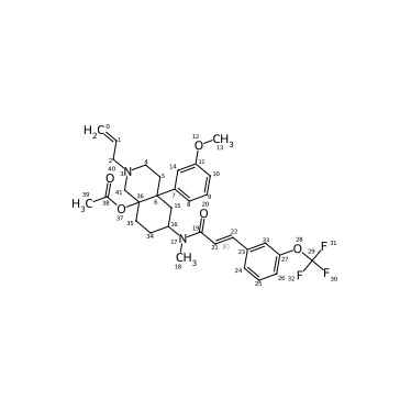 C=CCN1CCC2(c3cccc(OC)c3)CC(N(C)C(=O)/C=C/c3cccc(OC(F)(F)F)c3)CCC2(OC(C)=O)C1